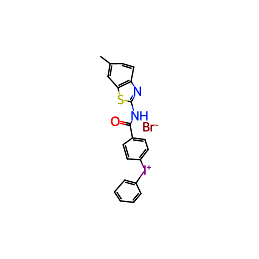 Cc1ccc2nc(NC(=O)c3ccc([I+]c4ccccc4)cc3)sc2c1.[Br-]